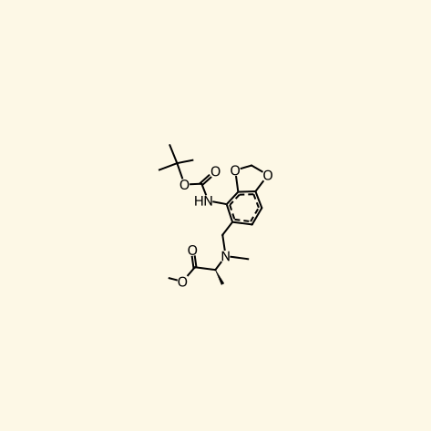 COC(=O)[C@H](C)N(C)Cc1ccc2c(c1NC(=O)OC(C)(C)C)OCO2